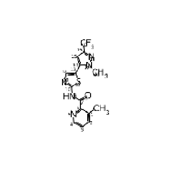 Cc1cccnc1C(=O)Nc1ncc(-c2cc(C(F)(F)F)nn2C)s1